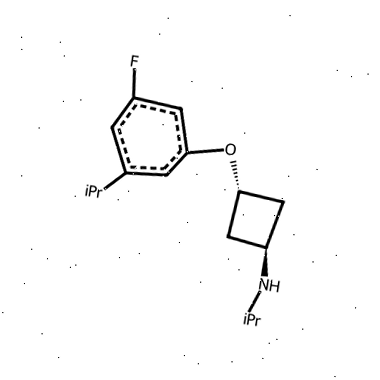 CC(C)N[C@H]1C[C@H](Oc2cc(F)cc(C(C)C)c2)C1